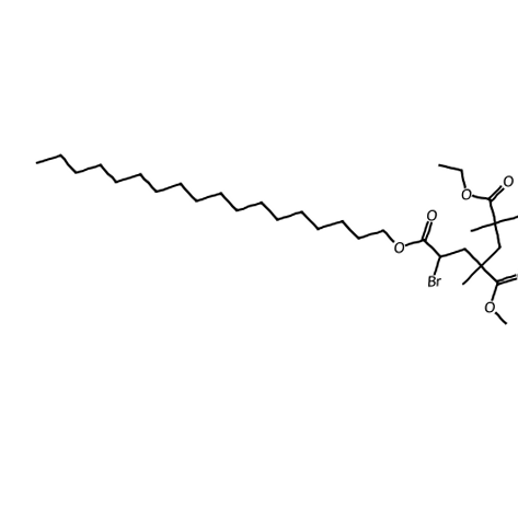 CCCCCCCCCCCCCCCCCCOC(=O)C(Br)CC(C)(CC(C)(C)C(=O)OCC)C(=O)OC